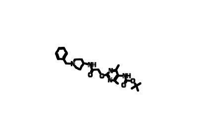 Cc1nc(OCC(=O)NC2CCN(Cc3ccccc3)CC2)nc(C)c1NC(=O)OC(C)(C)C